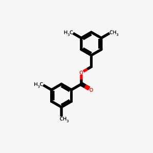 Cc1cc(C)cc(COC(=O)c2cc(C)cc(C)c2)c1